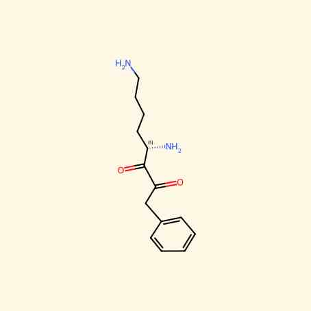 NCCCC[C@H](N)C(=O)C(=O)Cc1ccccc1